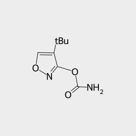 CC(C)(C)c1conc1OC(N)=O